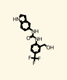 O=C(Nc1ccc2[nH]ccc2c1)Nc1ccc(C(F)(F)F)cc1CO